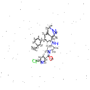 N#Cc1cccc(-c2cc(NC3CCN(C(=O)c4ccc(Cl)nc4)CC3)c3cnccc3c2)c1